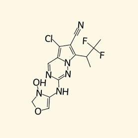 CC(c1c(C#N)c(Cl)c2cnc(NC3=COCN3O)nn12)C(C)(F)F